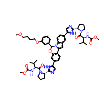 COCCCCOc1cccc(C2Oc3cc(-c4cnc([C@@H]5CCCN5C(=O)[C@@H](NC(=O)OC)C(C)C)[nH]4)ccc3-c3cc4cc(-c5cnc([C@@H]6CCCN6C(=O)[C@@H](NC(=O)OC)C(C)C)[nH]5)ccc4n32)c1